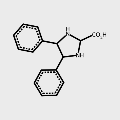 O=C(O)C1NC(c2ccccc2)C(c2ccccc2)N1